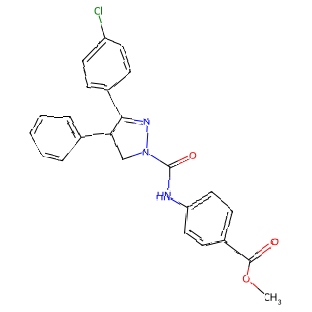 COC(=O)c1ccc(NC(=O)N2CC(c3ccccc3)C(c3ccc(Cl)cc3)=N2)cc1